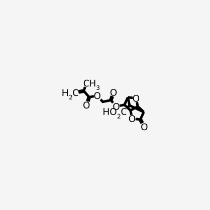 C=C(C)C(=O)OCC(=O)OC1C2OC(=O)C3C2OC1C3C(=O)O